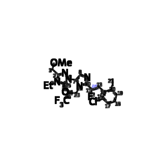 CCn1c(COC)nn(-c2cnc(/C(F)=C/c3c(Cl)cccc3I)n2C[C@@H](C)C(F)(F)F)c1=O